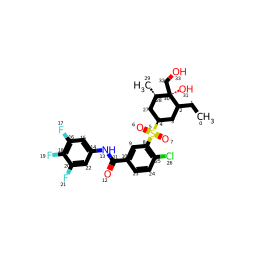 CCC1C[C@@H](S(=O)(=O)c2cc(C(=O)Nc3cc(F)c(F)c(F)c3)ccc2Cl)C[C@H](C)[C@@]1(O)CO